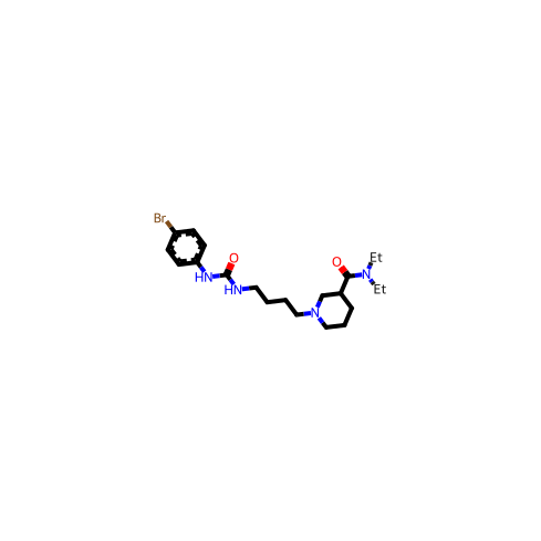 CCN(CC)C(=O)C1CCCN(CCCCNC(=O)Nc2ccc(Br)cc2)C1